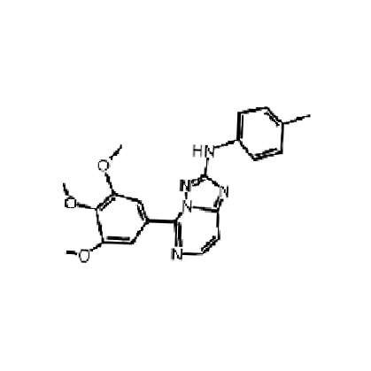 COc1cc(-c2nccc3nc(Nc4ccc(C)cc4)nn23)cc(OC)c1OC